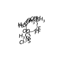 C/C(=C\c1csc(CCl)n1)C1C/C=C(/C(F)(F)F)C/C=C/C(C)C(O)C(C)C(=O)C(C)(C)[C@@H](O)CC(=O)O1